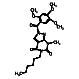 CCCCCCn1c(=O)c2cn(C(=O)c3cc(OC)c(OC)cc3OC)nc2n(C)c1=O